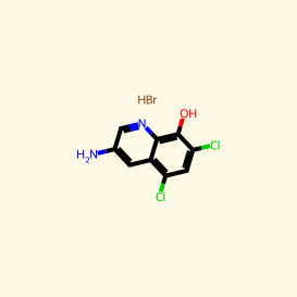 Br.Nc1cnc2c(O)c(Cl)cc(Cl)c2c1